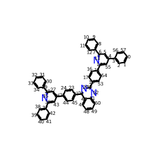 c1ccc(-c2cc(-c3ccccc3)nc(-c3ccc(-c4nc(-c5ccc(-c6cc(-c7ccccc7)nc(-c7ccccc7)c6)cc5)c5ccccc5n4)cc3)c2)cc1